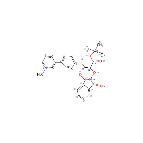 C[n+]1cccc(-c2ccc(OC[C@H](ON3C(=O)c4ccccc4C3=O)C(=O)OC(C)(C)C)cc2)c1